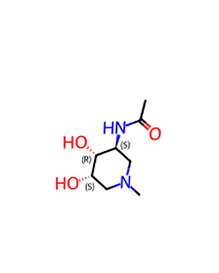 CC(=O)N[C@H]1CN(C)C[C@H](O)[C@@H]1O